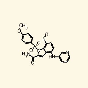 COc1ccc(S(=O)(=O)n2c(C(N)=O)cc3c(Nc4cccnc4)ccc(N=O)c32)cc1